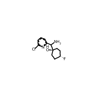 NC(c1cccc(Cl)n1)[C@]1(O)CC[C@H](F)CC1